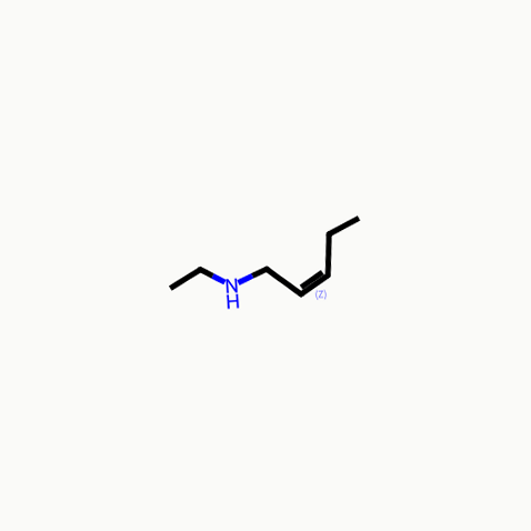 CC/C=C\CNCC